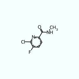 CNC(=O)c1ccc(F)c(Cl)n1